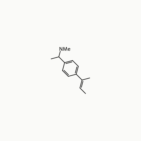 C/C=C(\C)c1ccc(C(C)NC)cc1